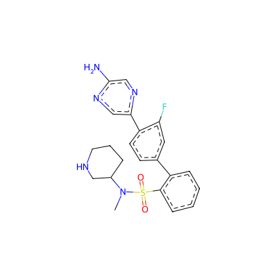 CN(C1CCCNC1)S(=O)(=O)c1ccccc1-c1ccc(-c2cnc(N)cn2)c(F)c1